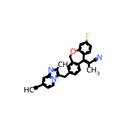 C#Cc1ccn2c(Cc3ccc4c(c3)COc3cc(F)ccc3/C4=C(/C)C#N)c(C)nc2c1